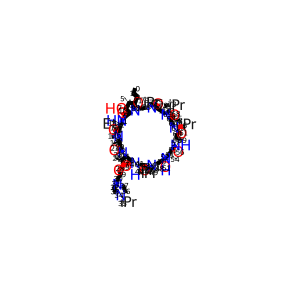 C/C=C/C[C@@H](C)[C@@H](O)[C@H]1C(=O)N[C@@H](CC)C(=O)N(C)[C@H](C)C(=O)N(C)[C@@H]([C@H](C)COCCN2CCN(C(C)C)CC2)C(=O)N[C@@H](C(C)C)C(=O)N(C)[C@@H](CC(C)C)C(=O)N[C@@H](C)C(=O)N[C@H](C)C(=O)N(C)[C@@H](CC(C)C)C(=O)N(C)[C@@H](CC(C)C)C(=O)N(C)[C@@H](C(C)C)C(=O)N1C